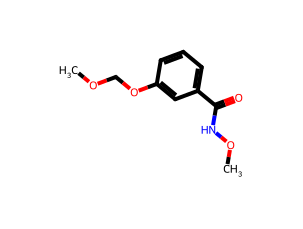 COCOc1cccc(C(=O)NOC)c1